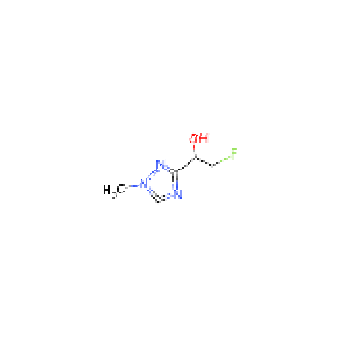 Cn1cnc(C(O)CF)n1